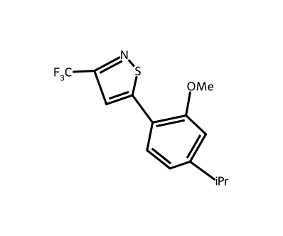 COc1cc(C(C)C)ccc1-c1cc(C(F)(F)F)ns1